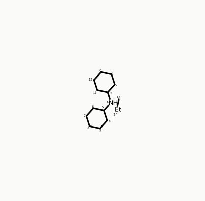 C1CCC(NC2CCCCC2)CC1.CCC